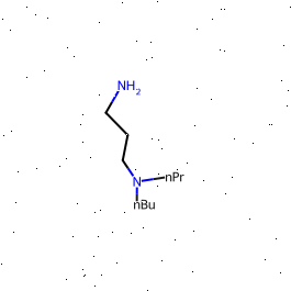 CCCCN(CCC)CCCN